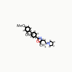 COc1ccc(-c2ccc(-c3nc(CCN4CCCC4)c(C)o3)cc2)c(OC)c1